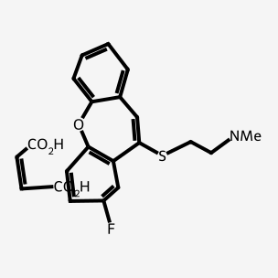 CNCCSC1=Cc2ccccc2Oc2ccc(F)cc21.O=C(O)/C=C\C(=O)O